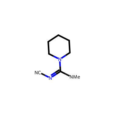 CN/C(=N/C#N)N1CCCCC1